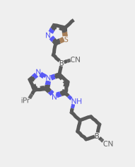 Cc1cnc(CB(C#N)c2cc(NCC3CCB(C#N)CC3)nc3c(C(C)C)cnn23)s1